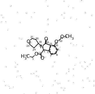 CCOC(=O)C1c2cccc(OCOC)c2C(=O)N1C1CCOCC1